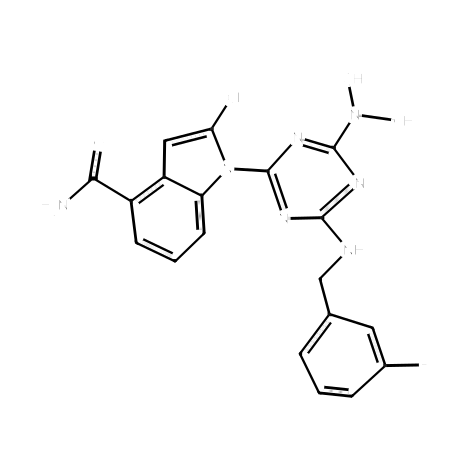 Cc1cc2c(C(N)=O)cccc2n1-c1nc(NCc2cccc(F)c2)nc(N(C)C)n1